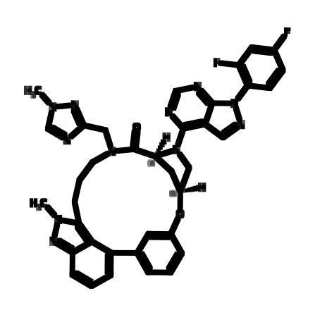 Cn1cnc(CN2CCCc3c4c(cccc4nn3C)-c3cccc(c3)O[C@H]3C[C@@H](C2=O)N(c2ncnc4c2cnn4-c2ccc(F)cc2F)C3)n1